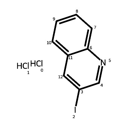 Cl.Cl.Ic1cnc2ccccc2c1